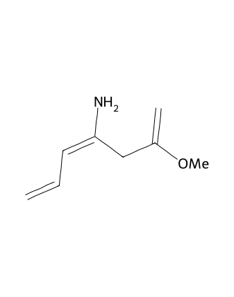 C=C/C=C(/N)CC(=C)OC